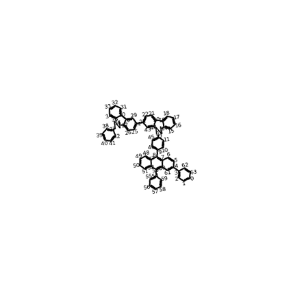 c1ccc(-c2ccc3c(-c4ccc(-n5c6ccccc6c6ccc(-c7ccc8c(c7)c7ccccc7n8-c7ccccc7)cc65)cc4)c4ccccc4c(-c4ccccc4)c3c2)cc1